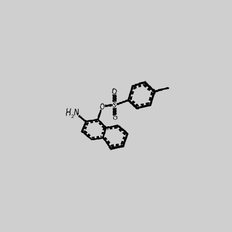 Cc1ccc(S(=O)(=O)Oc2c(N)ccc3ccccc23)cc1